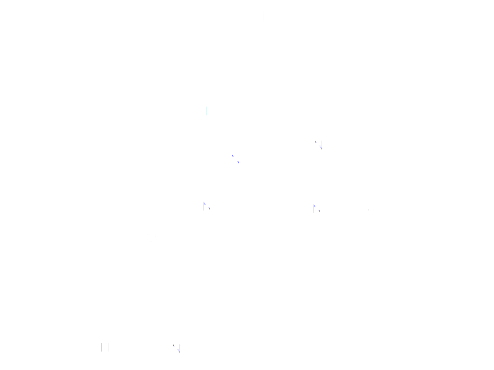 Cc1cc(C2CN(c3cc4nc(C)cnc4c(-c4ccc(F)cc4F)n3)CCO2)ccn1